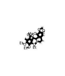 CCOc1c(C)c2c(c(OCC)c1OCC)C(C1c3c(cc4c(c3OC)OCO4)CCN1C)OC2=O